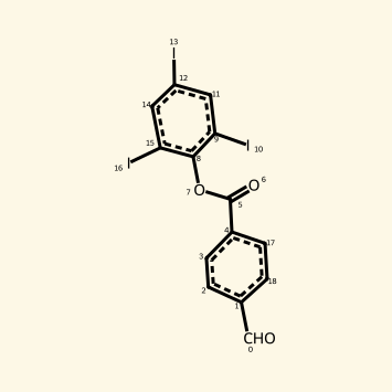 O=Cc1ccc(C(=O)Oc2c(I)cc(I)cc2I)cc1